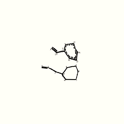 C=CCC1CCCCC1.C=Cc1ccccc1